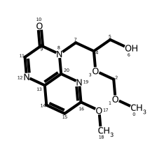 COCOC(CO)Cn1c(=O)cnc2ccc(OC)nc21